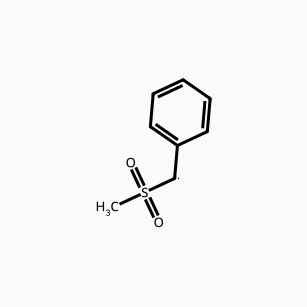 CS(=O)(=O)[CH]c1ccccc1